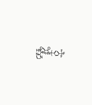 CC(C)(NC(=O)C1=CONC(c2ncccn2)=N1)c1ccc(C(F)(F)F)cc1